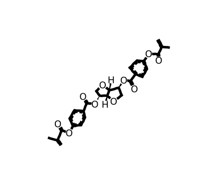 C=C(C)C(=O)Oc1ccc(C(=O)O[C@H]2CO[C@H]3[C@@H]2OC[C@H]3OC(=O)c2ccc(OC(=O)C(=C)C)cc2)cc1